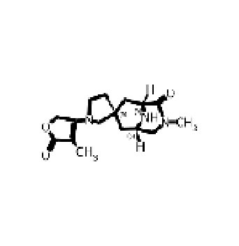 CC1=C(N2CC[C@@]3(C[C@H]4CN(C)C(=O)[C@@H](C3)N4)C2)COC1=O